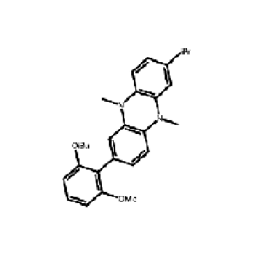 COc1cccc(OCC(C)C)c1-c1ccc2c(c1)N(C)c1ccc(C(C)C)cc1N2C